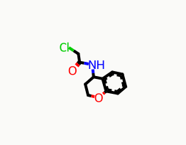 O=C(CCl)NC1CCOc2ccccc21